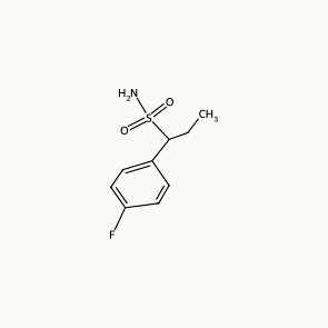 CCC(c1ccc(F)cc1)S(N)(=O)=O